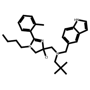 CCCCN1CC(Cl)(CN(Cc2ccc3[nH]ccc3c2)CC(C)(C)C)N=C1c1ccccc1C